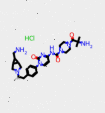 C[C@@H](Cc1ccc(-n2ccc(NC(=O)N3CCN(C(=O)C(C)(C)N)CC3)nc2=O)cc1)N1CC2C(CN)C2C1.Cl